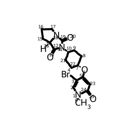 Cn1cc(Br)c(O[C@H]2CC[C@H](N3C(=O)[C@H]4CCCN4C3=O)CC2)cc1=O